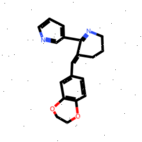 C(=C1CCCN=C1c1cccnc1)c1ccc2c(c1)OCCO2